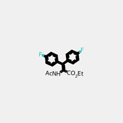 CCOC(=O)C(NC(C)=O)=C(c1ccc(F)cc1)c1ccc(F)cc1